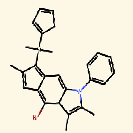 CC1=CC2=C(Br)C3C(=CC2=C1[Si](C)(C)C1=CC=CC1)N(c1ccccc1)C(C)=C3C